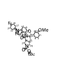 COc1cccc([C@@H](Oc2ccc3c(cnn3-c3ccc(F)cc3)c2)C(C)NC(=O)C2CCN(C(=O)OC(C)(C)C)C2)c1